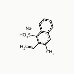 C=Cc1c(C)cc2ccccc2c1S(=O)(=O)O.[Na]